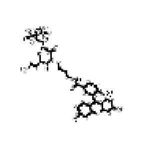 NCCC(=O)N[C@@H](CCCCNC(=O)c1ccc(C(=O)O)c(-c2c3ccc(=O)cc-3oc3cc(O)ccc23)c1)C(=O)NCCC(O)(P(=O)(O)O)P(=O)(O)O